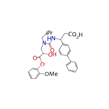 COc1ccccc1OC(=O)C(O)CN(CC(C)C)C(=O)NC(CC(=O)O)c1ccc(-c2ccccc2)cc1